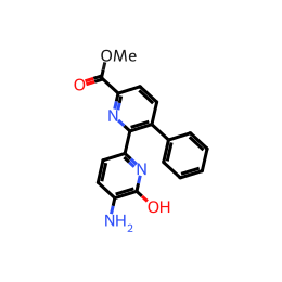 COC(=O)c1ccc(-c2ccccc2)c(-c2ccc(N)c(O)n2)n1